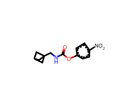 O=C(NCC12CC(C1)C2)Oc1ccc([N+](=O)[O-])cc1